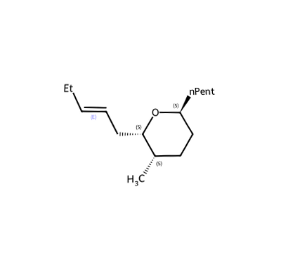 CC/C=C/C[C@@H]1O[C@@H](CCCCC)CC[C@@H]1C